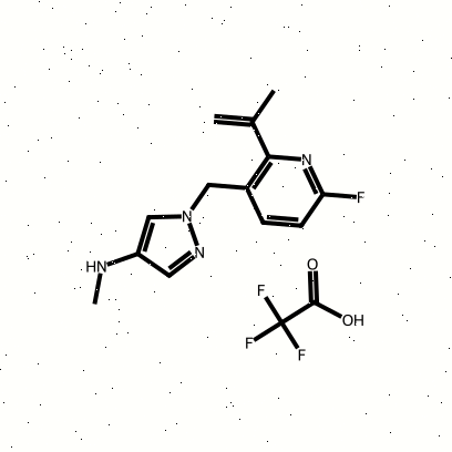 C=C(C)c1nc(F)ccc1Cn1cc(NC)cn1.O=C(O)C(F)(F)F